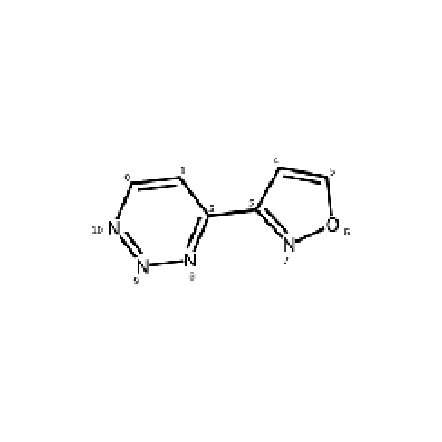 c1cc(-c2ccon2)nnn1